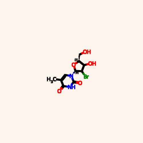 Cc1cn([C@@H]2O[C@H](CO)C(O)C2Br)c(=O)[nH]c1=O